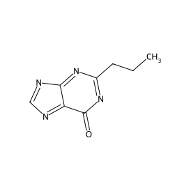 CCCC1=NC(=O)C2=NC=NC2=N1